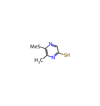 CSc1ncc(S)nc1C